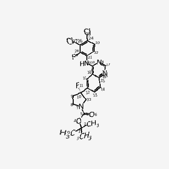 CC(C)(C)OC(=O)N1CC[C@@](F)(c2ccc3ncnc(Nc4ccc(Cl)c(Cl)c4F)c3c2)C1